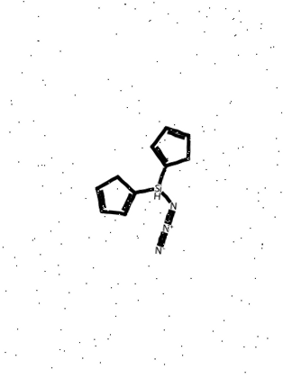 [N-]=[N+]=N[SiH](C1=CC=CC1)C1=CC=CC1